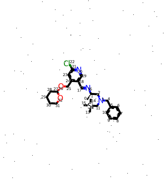 C[C@H](CN(Cc1ccccc1)C[Si](C)(C)C)/N=C/c1cnc(Cl)cc1COC1CCCCO1